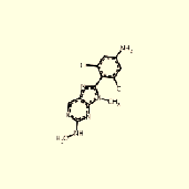 CNc1ncc2nc(-c3c(Cl)cc(N)cc3Cl)n(C)c2n1